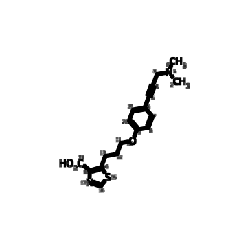 CN(C)CC#Cc1ccc(OCCCc2scnc2C(=O)O)cc1